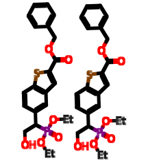 CCOP(=O)(OCC)C(CO)c1ccc2sc(C(=O)OCc3ccccc3)cc2c1.CCOP(=O)(OCC)C(CO)c1ccc2sc(C(=O)OCc3ccccc3)cc2c1